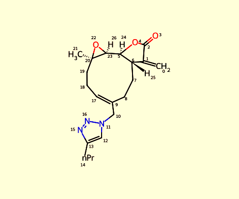 C=C1C(=O)O[C@H]2[C@H]1CC/C(Cn1cc(CCC)nn1)=C\CC[C@@]1(C)O[C@@H]21